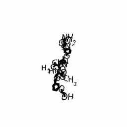 COC(=O)C(COCc1cccc(OCCO)c1)NC(=O)C(C(C)C)n1cc(COc2ccc3nc(S(N)(=O)=O)sc3c2)nn1